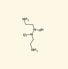 CCCN(CCN)N(CC)CCN